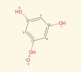 Oc1cc(O)cc(O)c1.[O]